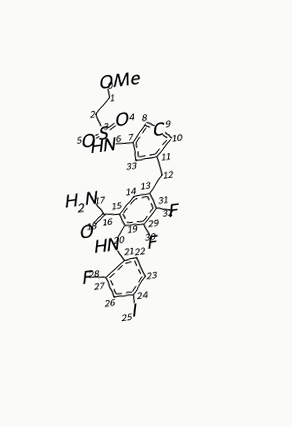 COCCS(=O)(=O)Nc1cccc(Cc2cc(C(N)=O)c(Nc3ccc(I)cc3F)c(F)c2F)c1